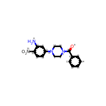 Nc1cc(N2CCN(C(=O)c3ccccc3)CC2)ccc1[N+](=O)[O-]